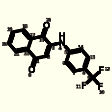 O=C1C=C(Nc2ccc(C(F)(F)F)cc2)C(=O)c2ccccc21